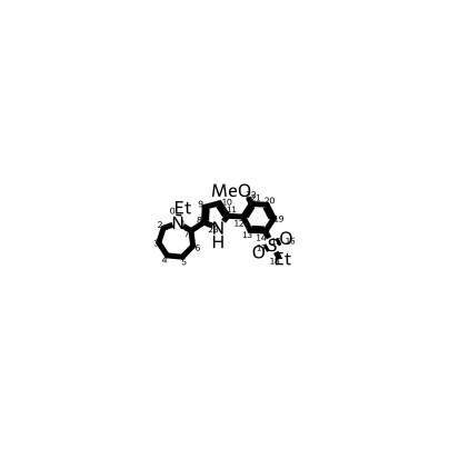 CCN1CCCCCC1c1ccc(-c2cc(S(=O)(=O)CC)ccc2OC)[nH]1